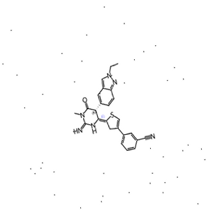 CCn1cc2cc([C@H]3C(=O)N(C)C(=N)N/C3=C3\CC(c4cccc(C#N)c4)=CS3)ccc2n1